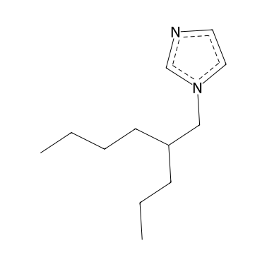 CCCCC(CCC)Cn1ccnc1